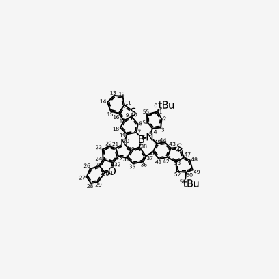 CC(C)(C)c1ccc(N2B3c4cc5sc6ccccc6c5cc4-n4c5ccc6c7ccccc7oc6c5c5ccc(c3c54)-c3cc4c(cc32)sc2ccc(C(C)(C)C)cc24)cc1